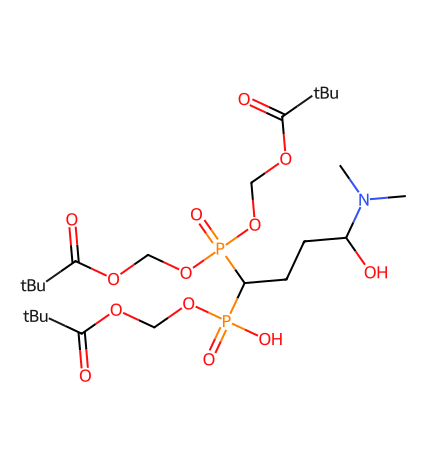 CN(C)C(O)CCC(P(=O)(O)OCOC(=O)C(C)(C)C)P(=O)(OCOC(=O)C(C)(C)C)OCOC(=O)C(C)(C)C